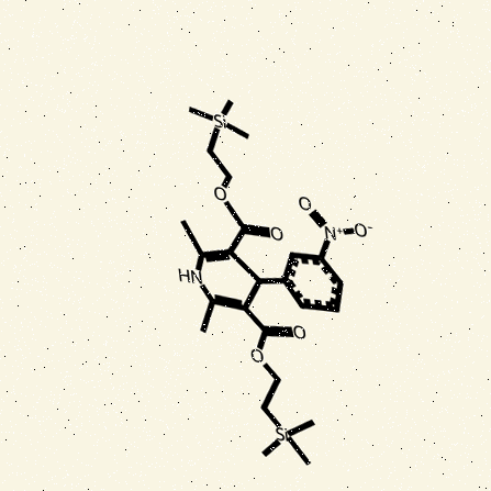 CC1=C(C(=O)OCC[Si](C)(C)C)C(c2cccc([N+](=O)[O-])c2)C(C(=O)OCC[Si](C)(C)C)=C(C)N1